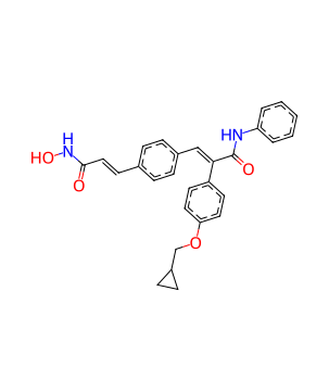 O=C(/C=C/c1ccc(/C=C(/C(=O)Nc2ccccc2)c2ccc(OCC3CC3)cc2)cc1)NO